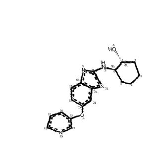 O[C@@H]1CCCC[C@H]1Nc1nc2ccc(Oc3cccnc3)cc2s1